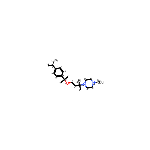 CCC(C)(CCOC(C)(C)c1ccc([C@@H](C)C(C)C)cc1)N1CCN(C(C)(C)C)CC1